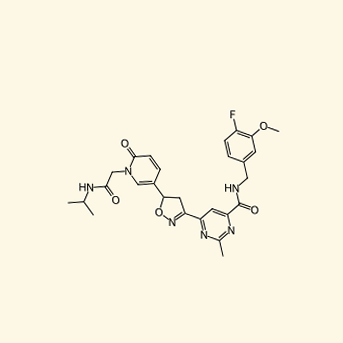 COc1cc(CNC(=O)c2cc(C3=NOC(c4ccc(=O)n(CC(=O)NC(C)C)c4)C3)nc(C)n2)ccc1F